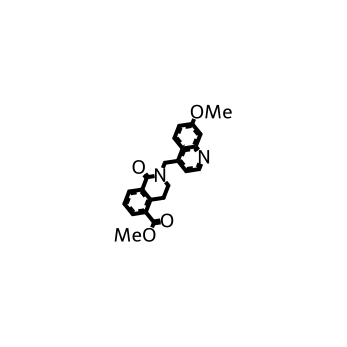 COC(=O)c1cccc2c1CCN(Cc1ccnc3cc(OC)ccc13)C2=O